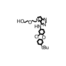 CC(C)(C)c1cccc(Oc2ccc(Nc3ncnc4ccn(CCOCCO)c34)cc2Cl)c1